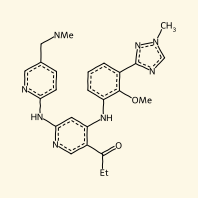 CCC(=O)c1cnc(Nc2ccc(CNC)cn2)cc1Nc1cccc(-c2ncn(C)n2)c1OC